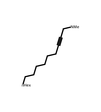 CCCCCCCCCCCCC#C[CH]NC